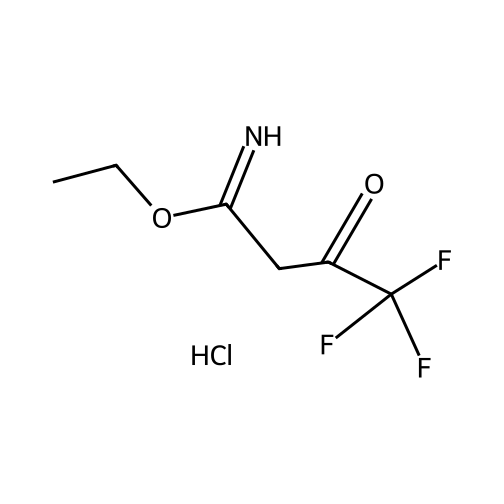 CCOC(=N)CC(=O)C(F)(F)F.Cl